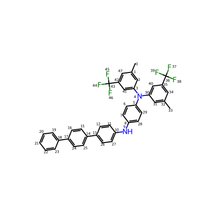 Cc1cc(N(c2ccc(Nc3ccc(-c4ccc(-c5ccccc5)cc4)cc3)cc2)c2cc(C)cc(C(F)(F)F)c2)cc(C(F)(F)F)c1